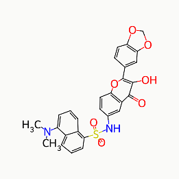 CN(C)c1cccc2c(S(=O)(=O)Nc3ccc4oc(-c5ccc6c(c5)OCO6)c(O)c(=O)c4c3)cccc12